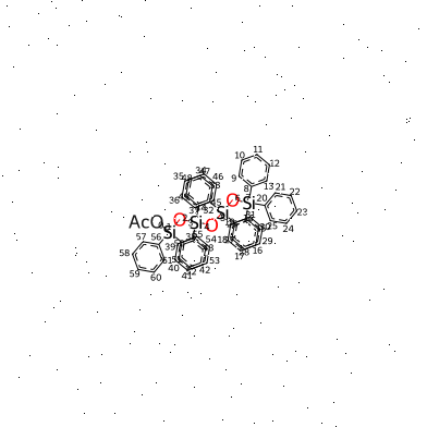 CC(=O)O[Si](O[Si](O[Si](O[Si](c1ccccc1)(c1ccccc1)c1ccccc1)(c1ccccc1)c1ccccc1)(c1ccccc1)c1ccccc1)(c1ccccc1)c1ccccc1